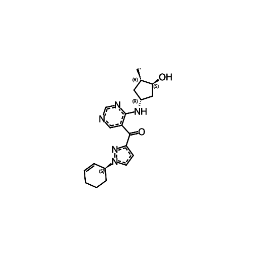 [CH2][C@@H]1C[C@@H](Nc2ncncc2C(=O)c2ccn([C@@H]3C=CCCC3)n2)C[C@@H]1O